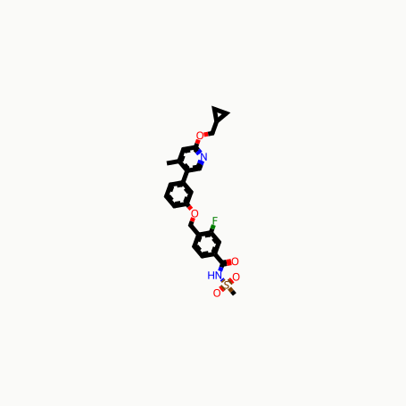 Cc1cc(OCC2CC2)ncc1-c1cccc(OCc2ccc(C(=O)NS(C)(=O)=O)cc2F)c1